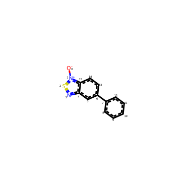 [O-][n+]1snc2cc(-c3ccccc3)ccc21